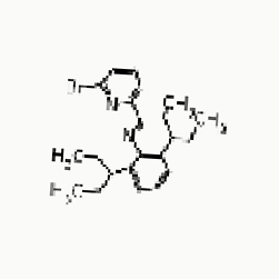 CCC(CC)c1cccc(C(CC)CC)c1/N=C/c1cccc(Br)n1